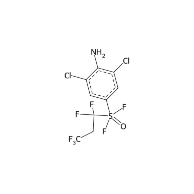 Nc1c(Cl)cc(S(=O)(F)(F)C(F)(F)CC(F)(F)F)cc1Cl